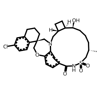 C[C@H]1CCC[C@H](O)[C@@H]2CC[C@H]2CN2C[C@@]3(CCCc4cc(Cl)ccc43)COc3ccc(cc32)C(=O)NS(=O)(=O)C1